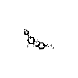 Nc1ccc(O[C@@H]2CCN(C3COC3)C[C@H]2F)c(C(F)(F)F)c1